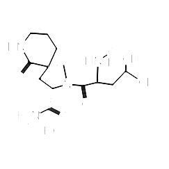 CNC(CC(C)C)C(=O)N1C[C@]2(CCCNC2=O)C[C@H]1C(N)=O.Cl